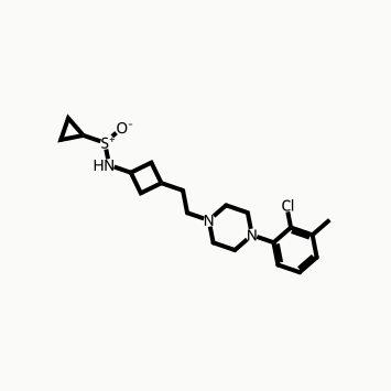 Cc1cccc(N2CCN(CCC3CC(N[S+]([O-])C4CC4)C3)CC2)c1Cl